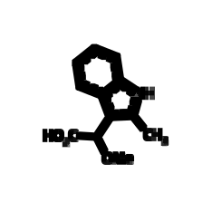 COC(C(=O)O)c1c(C)[nH]c2ccccc12